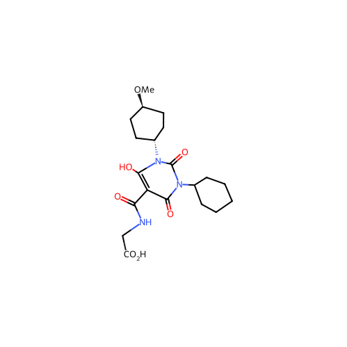 CO[C@H]1CC[C@H](n2c(O)c(C(=O)NCC(=O)O)c(=O)n(C3CCCCC3)c2=O)CC1